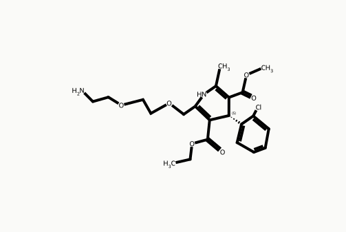 CCOC(=O)C1=C(COCCOCCN)NC(C)=C(C(=O)OC)[C@@H]1c1ccccc1Cl